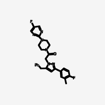 Cc1cc(-c2cc(CC(C)C)n(CC(=O)N3CCN(c4ncc(F)cn4)CC3)n2)ccc1F